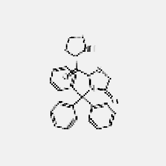 O=C(C1CCCN1)C1SCC(=O)N1C(c1ccccc1)(c1ccccc1)c1ccccc1